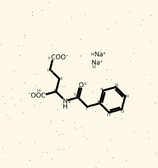 O=C([O-])CCC(NC(=O)Cc1ccccc1)C(=O)[O-].[Na+].[Na+]